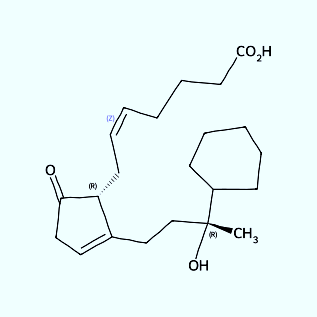 C[C@@](O)(CCC1=CCC(=O)[C@@H]1C/C=C\CCCC(=O)O)C1CCCCC1